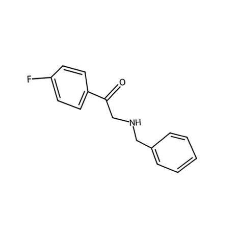 O=C(CNCc1ccccc1)c1ccc(F)cc1